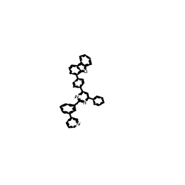 c1ccc(-c2cc(-c3ccc(-c4cccc5c4oc4ccccc45)cc3)nc(-c3cccc(-c4cccnc4)c3)n2)cc1